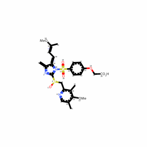 C=c1nc([S+]([O-])Cc2ncc(C)c(OC)c2C)n(S(=O)(=O)c2ccc(OCC(=O)O)cc2)/c1=C/C=C(\C)OC